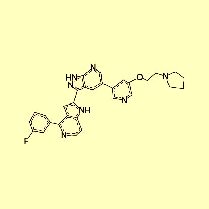 Fc1cccc(-c2nccc3[nH]c(-c4n[nH]c5ncc(-c6cncc(OCCN7CCCC7)c6)cc45)cc23)c1